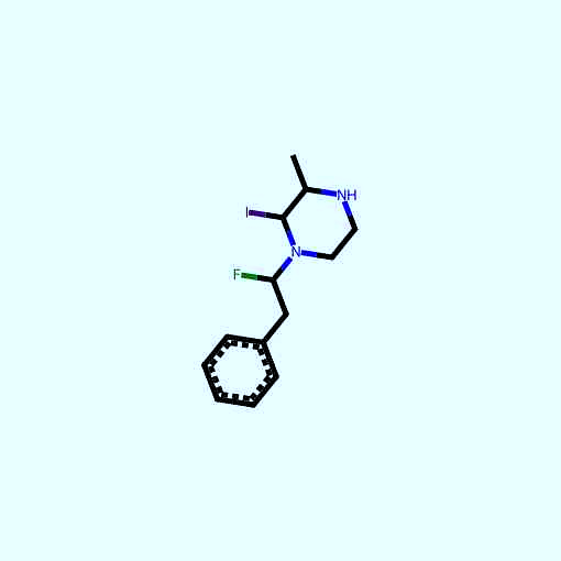 CC1NCCN(C(F)Cc2ccccc2)C1I